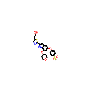 CS(=O)(=O)c1ccc(Oc2cc(OC3CCOCC3)c3[nH]c(C4=NCC(CCO)S4)cc3c2)cc1